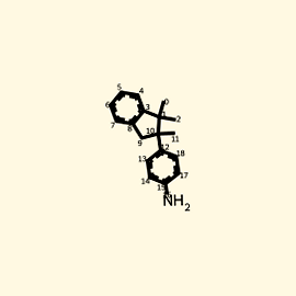 CC1(C)c2ccccc2CC1(C)c1ccc(N)cc1